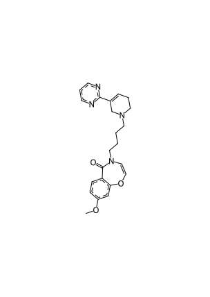 COc1ccc2c(c1)OC=CN(CCCCN1CCC=C(c3ncccn3)C1)C2=O